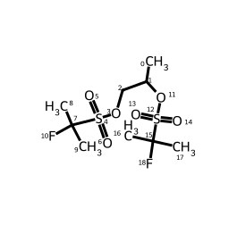 CC(COS(=O)(=O)C(C)(C)F)OS(=O)(=O)C(C)(C)F